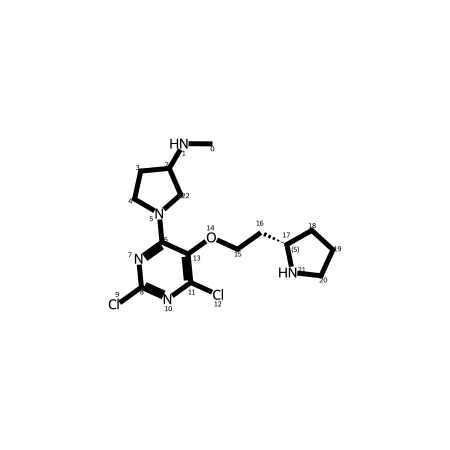 CNC1CCN(c2nc(Cl)nc(Cl)c2OCC[C@@H]2CCCN2)C1